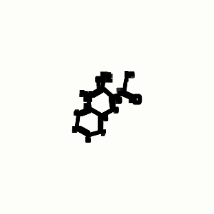 CCc1nc2ccccc2cc1C(=O)I